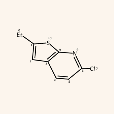 CCc1cc2ccc(Cl)nc2s1